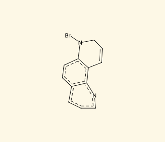 BrN1CC=Cc2c1ccc1cccnc21